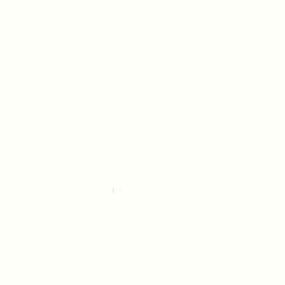 C1=Cc2c(ccc3ccccc23)OC1.Oc1ccccc1